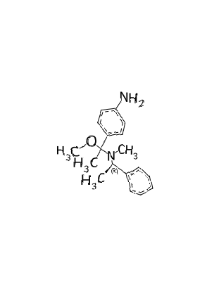 COC(C)(c1ccc(N)cc1)N(C)[C@H](C)c1ccccc1